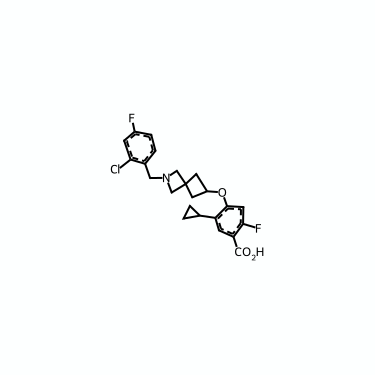 O=C(O)c1cc(C2CC2)c(OC2CC3(C2)CN(Cc2ccc(F)cc2Cl)C3)cc1F